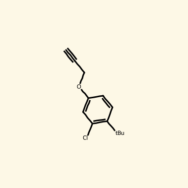 C#CCOc1ccc(C(C)(C)C)c(Cl)c1